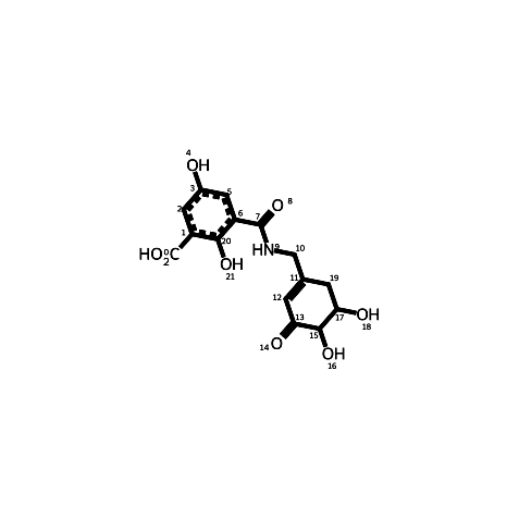 O=C(O)c1cc(O)cc(C(=O)NCC2=CC(=O)C(O)C(O)C2)c1O